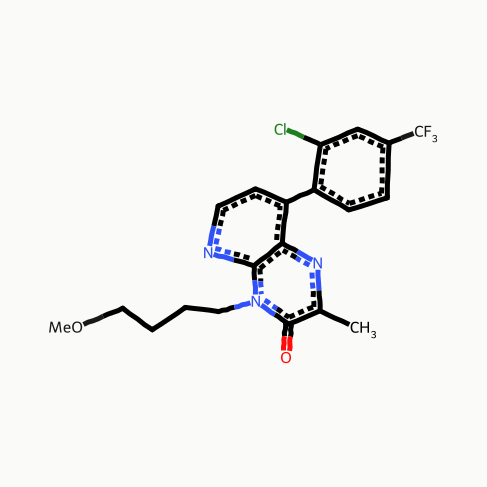 COCCCCn1c(=O)c(C)nc2c(-c3ccc(C(F)(F)F)cc3Cl)ccnc21